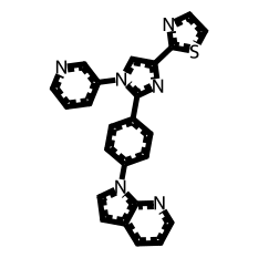 c1cncc(-n2cc(-c3nccs3)nc2-c2ccc(-n3ccc4cccnc43)cc2)c1